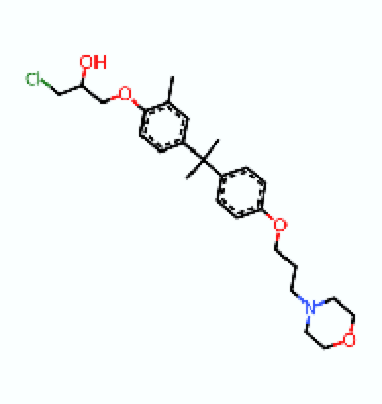 Cc1cc(C(C)(C)c2ccc(OCCCN3CCOCC3)cc2)ccc1OCC(O)CCl